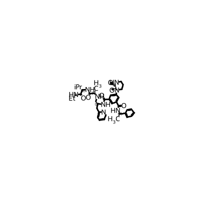 CCNC(=O)[C@@H](NC(=O)[C@H](C)NC[C@H](Cc1ccccn1)NC(=O)c1cc(C(=O)N[C@H](C)c2ccccc2)cc(N2CCCNS2(=O)=O)c1)C(C)C